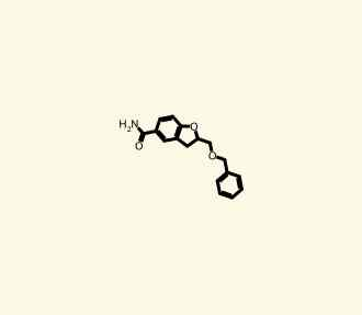 NC(=O)c1ccc2c(c1)CC(COCc1ccccc1)O2